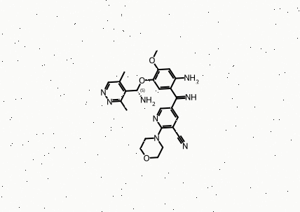 COc1cc(N)c(C(=N)c2cnc(N3CCOCC3)c(C#N)c2)cc1O[C@H](N)c1c(C)cnnc1C